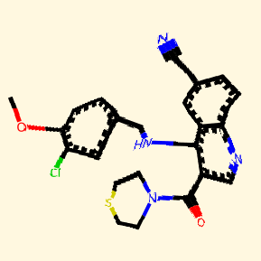 COc1ccc(CNc2c(C(=O)N3CCSCC3)cnc3ccc(C#N)cc23)cc1Cl